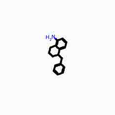 Nc1cccc2c1CCCC2Cc1ccccc1